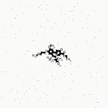 CCOC(=O)c1cn2c(cc1=O)-c1cc(OC)c(OCCCOC)cc1[C@@H](C)[C@H]2C(C)(C)CC